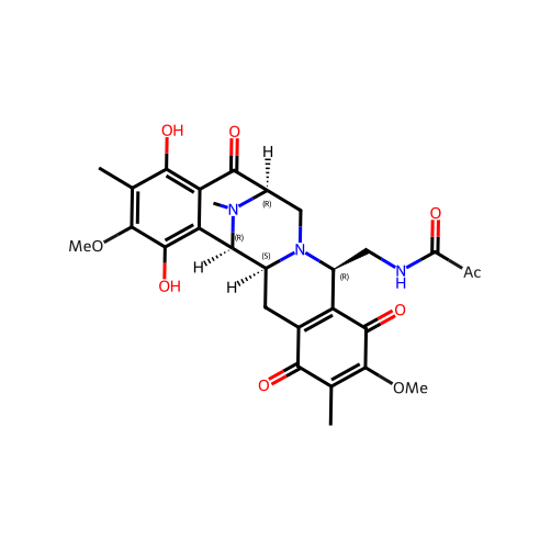 COC1=C(C)C(=O)C2=C(C1=O)[C@H](CNC(=O)C(C)=O)N1C[C@@H]3C(=O)c4c(O)c(C)c(OC)c(O)c4[C@H]([C@@H]1C2)N3C